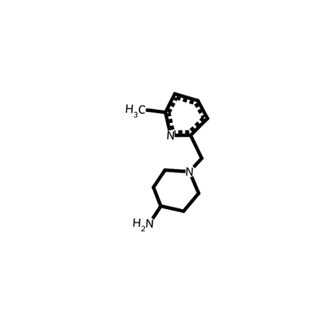 Cc1cccc(CN2CCC(N)CC2)n1